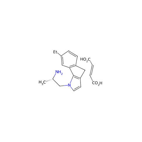 CCc1ccc2c(c1)-c1c(ccn1C[C@H](C)N)C2.O=C(O)C=CC(=O)O